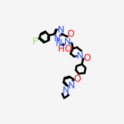 O=C(C1CCC(Oc2cccc(N3CCC3)n2)CC1)N1CCC(O)(Cn2cnn3c(-c4ccc(F)cc4)cnc3c2=O)CC1